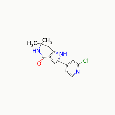 CC1(C)Cc2[nH]c(-c3ccnc(Cl)c3)cc2C(=O)N1